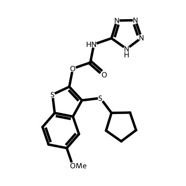 COc1ccc2sc(OC(=O)Nc3nnn[nH]3)c(SC3CCCC3)c2c1